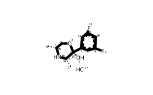 C[C@@H]1CO[C@@](O)(c2cc(F)cc(F)c2)[C@H](C)N1.Cl